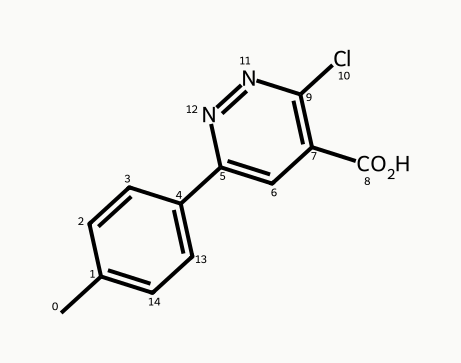 Cc1ccc(-c2cc(C(=O)O)c(Cl)nn2)cc1